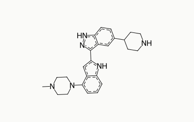 CN1CCN(c2cccc3[nH]c(-c4n[nH]c5ccc(C6CCNCC6)cc45)cc23)CC1